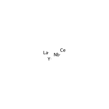 [Ce].[La].[Nb].[Y]